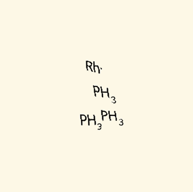 P.P.P.[Rh]